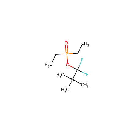 CCP(=O)(CC)OC(F)(F)[Si](C)(C)C